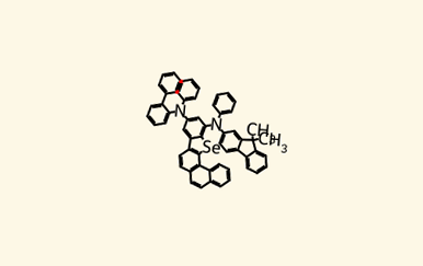 CC1(C)c2ccccc2-c2ccc(N(c3ccccc3)c3cc(N(c4ccccc4)c4ccccc4-c4ccccc4)cc4c3[se]c3c4ccc4ccc5ccccc5c43)cc21